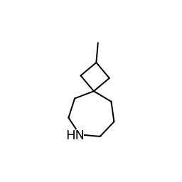 CC1CC2(CCCNCC2)C1